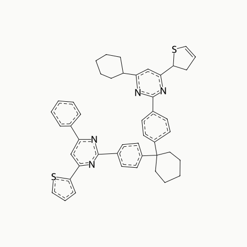 C1=CSC(c2cc(C3CCCCC3)nc(-c3ccc(C4(c5ccc(-c6nc(-c7ccccc7)cc(-c7cccs7)n6)cc5)CCCCC4)cc3)n2)C1